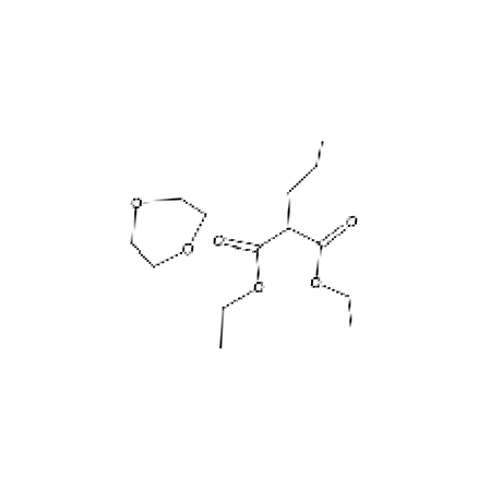 C1COCCO1.CCCC(C(=O)OCC)C(=O)OCC